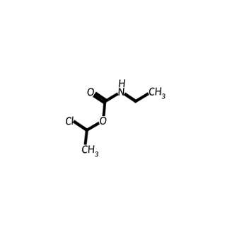 CCNC(=O)OC(C)Cl